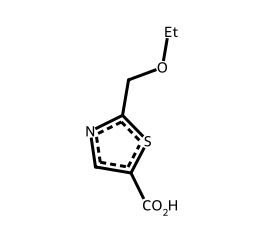 CCOCc1ncc(C(=O)O)s1